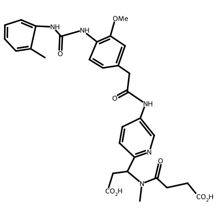 COc1cc(CC(=O)Nc2ccc(C(CC(=O)O)N(C)C(=O)CCC(=O)O)nc2)ccc1NC(=O)Nc1ccccc1C